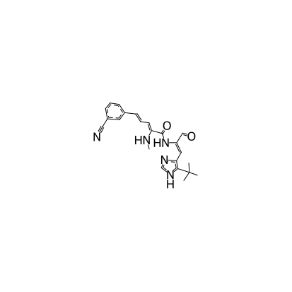 CN/C(=C\C=C\c1cccc(C#N)c1)C(=O)N/C(C=O)=C\c1nc[nH]c1C(C)(C)C